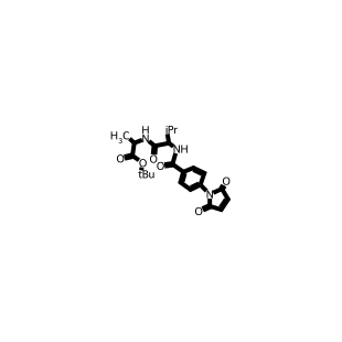 CC(NC(=O)C(NC(=O)c1ccc(N2C(=O)C=CC2=O)cc1)C(C)C)C(=O)OC(C)(C)C